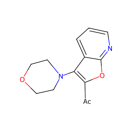 CC(=O)c1oc2ncccc2c1N1CCOCC1